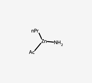 CC[CH2][Zn]([NH2])[C](C)=O